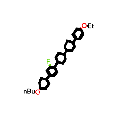 CCCCOC1CCC(c2ccc(C3CCC(C4CCC(c5ccc(OCC)cc5)CC4)CC3)c(F)c2)CC1